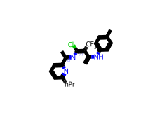 C=C(Nc1ccc(C)cc1)/C(=C(Cl)\N=C(/C)c1cccc(CCC)n1)C(F)(F)F